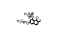 COCOc1cc(OS(C)(=O)=O)c2c(Cl)c(F)ccc2c1